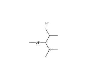 [CH3][Al+][CH](C(C)C)N(C)C.[H-]